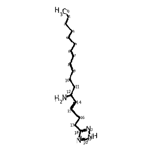 CCCCCCCCCCCCC(N)C=CCCc1nc[nH]n1